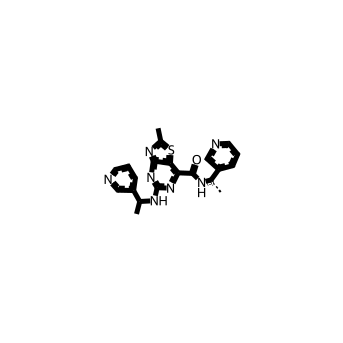 Cc1nc2nc(NC(C)c3cccnc3)nc(C(=O)N[C@@H](C)c3cccnc3)c2s1